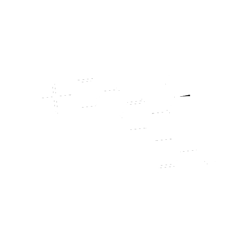 CCOC(=O)N=S(C)(=O)c1ccc(Nc2ncc(-c3cccc(CNC(C)=O)c3)c(N[C@H](C)CO)n2)cc1